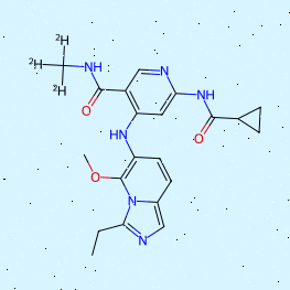 [2H]C([2H])([2H])NC(=O)c1cnc(NC(=O)C2CC2)cc1Nc1ccc2cnc(CC)n2c1OC